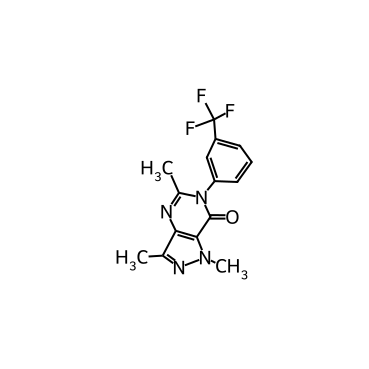 Cc1nn(C)c2c(=O)n(-c3cccc(C(F)(F)F)c3)c(C)nc12